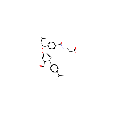 CC(C)CC(OC1=CC(C=O)C(c2ccc(C(C)C)cc2)C=C1)c1ccc(C(=O)NCCC(=O)O)cc1